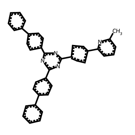 Cc1cccc(-c2ccc(-c3nc(-c4ccc(-c5ccccc5)cc4)nc(-c4ccc(-c5ccccc5)cc4)n3)cc2)n1